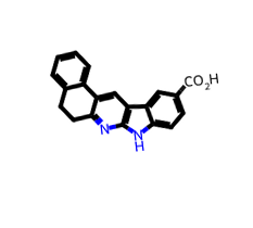 O=C(O)c1ccc2[nH]c3nc4c(cc3c2c1)-c1ccccc1CC4